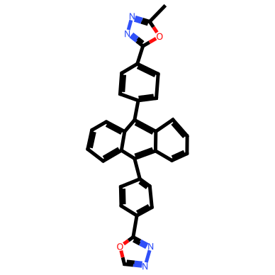 Cc1nnc(-c2ccc(-c3c4ccccc4c(-c4ccc(-c5nnco5)cc4)c4ccccc34)cc2)o1